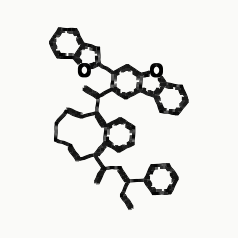 C=C/C(=C\C(=C)C1=c2\cccc\c2=C(C(=C)c2cc3c(cc2-c2cc4ccccc4o2)oc2ccccc23)\C=C\CC\C=C\1)c1ccccc1